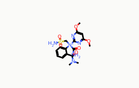 COc1cc(OC)nc([N+](CS(N)(=O)=O)(C(N)=O)c2ccccc2C(=O)N(C)C)n1